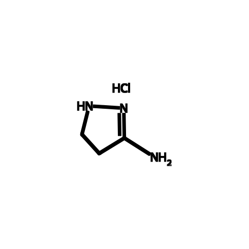 Cl.NC1=NNCC1